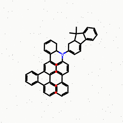 CC1(C)c2ccccc2C2=CC=C(N(c3ccc(-c4ccccc4)cc3)C3CC=CC=C3c3ccc4c5ccccc5c5ccccc5c4c3)CC21